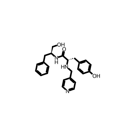 O=C(N[C@H](CO)Cc1ccccc1)[C@H](Cc1ccc(O)cc1)NCc1ccncc1